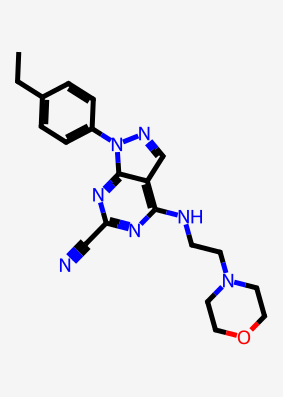 CCc1ccc(-n2ncc3c(NCCN4CCOCC4)nc(C#N)nc32)cc1